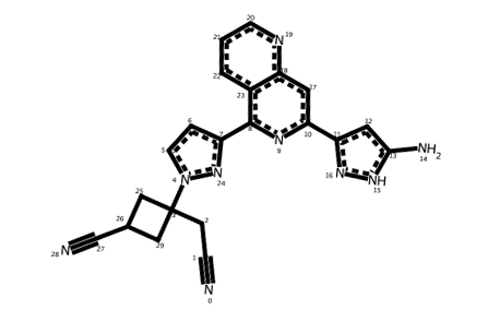 N#CCC1(n2ccc(-c3nc(-c4cc(N)[nH]n4)cc4ncccc34)n2)CC(C#N)C1